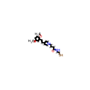 COc1ccc(OC)c(/C=C/c2cc[n+](CCCC(=O)NCCS)cc2)c1